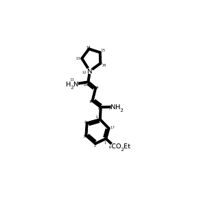 CCOC(=O)c1cccc(/C(N)=C/C=C(\N)N2CCCC2)c1